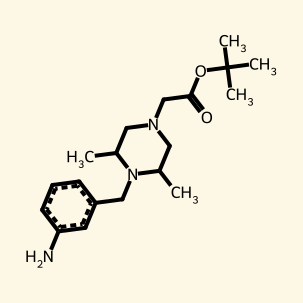 CC1CN(CC(=O)OC(C)(C)C)CC(C)N1Cc1cccc(N)c1